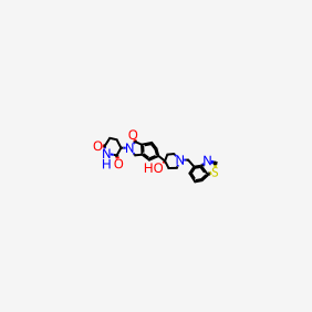 O=C1CCC(N2Cc3cc(C4(O)CCN(Cc5cccc6scnc56)CC4)ccc3C2=O)C(=O)N1